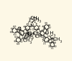 C/C=C\C(=C/C)N(c1ccc2c(c1)C(C)(C)c1cc(-c3ccc4c(c3)C(C)(C)c3ccccc3-4)c3oc4ccccc4c3c1-2)c1ccc2c(c1)C(C)(C)c1c3c(c4c(oc5ccccc54)c1-2)-c1ccccc1C3(C)C